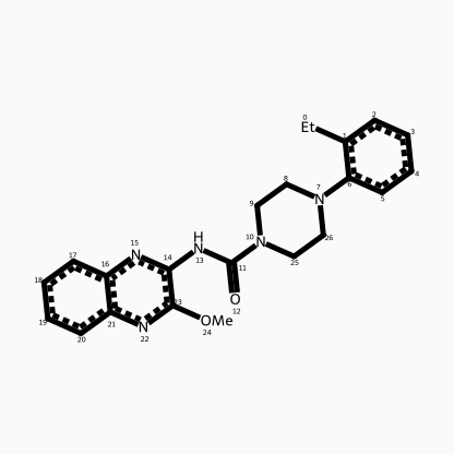 CCc1ccccc1N1CCN(C(=O)Nc2nc3ccccc3nc2OC)CC1